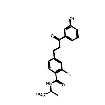 C[C@H](NC(=O)c1ccc(CCC(=O)c2cccc(O)c2)cc1Cl)C(=O)O